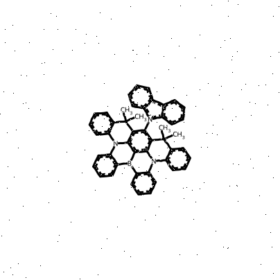 CC1(C)c2ccccc2N2c3ccccc3B3c4ccccc4N4c5ccccc5C(C)(C)c5c4c3c2c1c5-n1c2ccccc2c2ccccc21